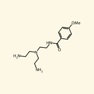 COc1ccc(C(=O)NCCN(CCN)CCN)cc1